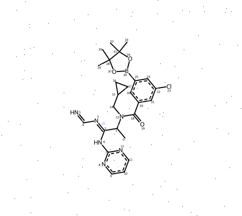 CC(/C(=N/C=N)Nc1ncccn1)N(CC1CC1)C(=O)c1cc(Cl)cc(B2OC(C)(C)C(C)(C)O2)c1